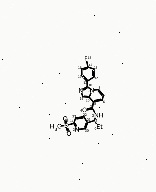 CC[C@H](NC(=O)c1cccn2c(-c3ccc(F)cc3)ncc12)c1ccc(S(C)(=O)=O)nc1